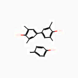 Cc1cc(-c2cc(C)c(O)c(C)c2)cc(C)c1O.Cc1ccc(O)cc1